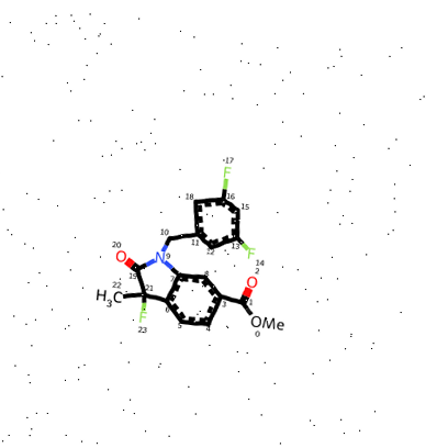 COC(=O)c1ccc2c(c1)N(Cc1cc(F)cc(F)c1)C(=O)C2(C)F